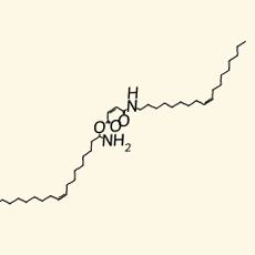 CCCCCCCC/C=C\CCCCCCCCNC(=O)/C=C\C(=O)OC(N)CCCCCCC/C=C\CCCCCCCC